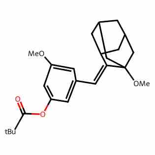 COc1cc(C=C2C3CC4CC(C3)CC2(OC)C4)cc(OC(=O)C(C)(C)C)c1